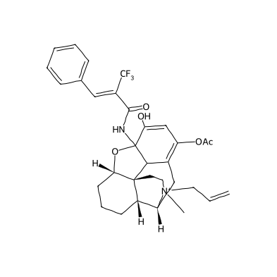 C=CC[N+]1(C)CC[C@]23C4C5=C(OC(C)=O)C=C(O)C4(NC(=O)C(=Cc4ccccc4)C(F)(F)F)O[C@H]2CCC[C@H]3[C@H]1C5